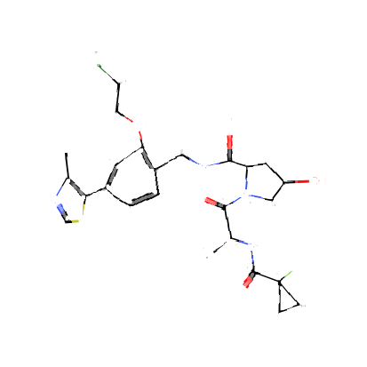 Cc1ncsc1-c1ccc(CNC(=O)C2CC(O)CN2C(=O)[C@@H](NC(=O)C2(F)CC2)C(C)(C)C)c(OCCCl)c1